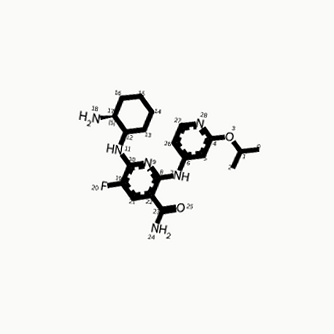 CC(C)Oc1cc(Nc2nc(NC3CCCC[C@@H]3N)c(F)cc2C(N)=O)ccn1